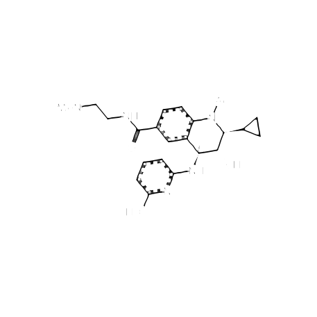 CNCCNC(=O)c1ccc2c(c1)[C@H](Nc1cccc(C)n1)[C@@H](C)[C@H](C1CC1)N2C(C)=O